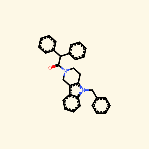 O=C(C(c1ccccc1)c1ccccc1)N1CCc2c(c3ccccc3n2Cc2ccccc2)C1